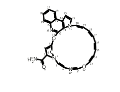 NC(=O)C1C=C2CN1/C=C\N=C/O\C=C/C=C\C=C/C=C\n1ccc3c4ccccc4nc(c31)O2